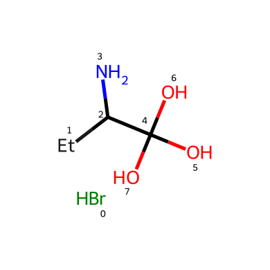 Br.CCC(N)C(O)(O)O